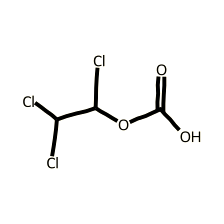 O=C(O)OC(Cl)C(Cl)Cl